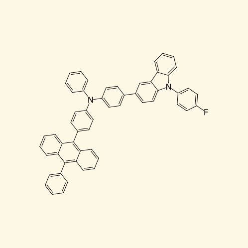 Fc1ccc(-n2c3ccccc3c3cc(-c4ccc(N(c5ccccc5)c5ccc(-c6c7ccccc7c(-c7ccccc7)c7ccccc67)cc5)cc4)ccc32)cc1